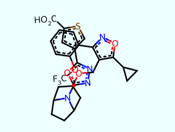 O=C(O)c1cc(-c2nnc(N3C4CCC3CC(OCc3c(-c5ccccc5OC(F)(F)F)noc3C3CC3)C4)o2)cs1